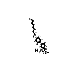 CCCCCCCCOc1ccc([C@@H]2CC[C@](N)(CO)C2)cc1